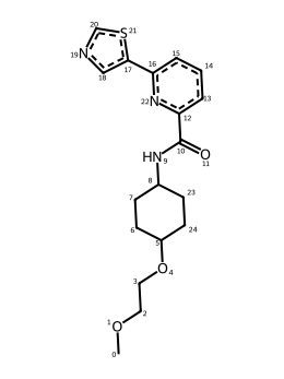 COCCOC1CCC(NC(=O)c2cccc(-c3cncs3)n2)CC1